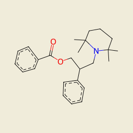 CC1(C)CCCC(C)(C)N1CC(COC(=O)c1ccccc1)c1ccccc1